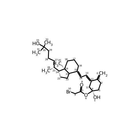 C=C1CC[C@@](O)(OC(=O)CBr)CC1=CC=C1CCC[C@@]2(C)C1CC[C@@H]2[C@H](C)CCCC(C)(C)O